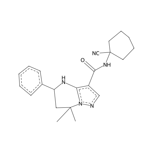 CC1(C)CC(c2ccccc2)Nc2c(C(=O)NC3(C#N)CCCCC3)cnn21